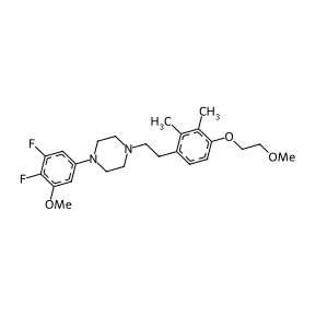 COCCOc1ccc(CCN2CCN(c3cc(F)c(F)c(OC)c3)CC2)c(C)c1C